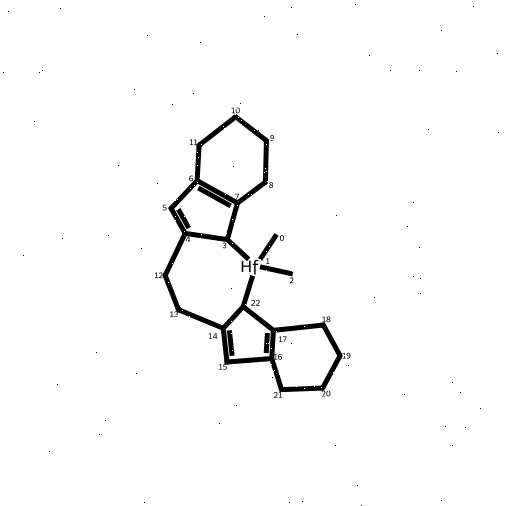 [CH3][Hf]1([CH3])[CH]2C(=CC3=C2CCCC3)CCC2=CC3=C(CCCC3)[CH]21